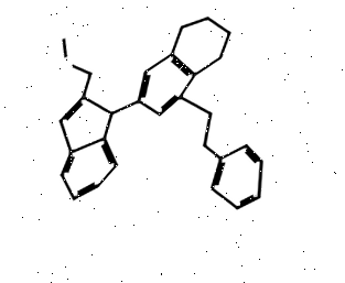 COCC1=Cc2ccccc2C1c1cc2c(c(CCc3ccccc3)c1)CCCC2